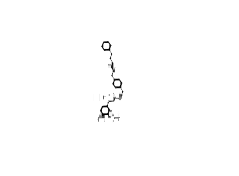 C[C@H](Cc1ccc(CC(=O)NCCCc2ccccc2)cc1)NC[C@@H](O)c1ccc(O)c(NS(C)(=O)=O)c1